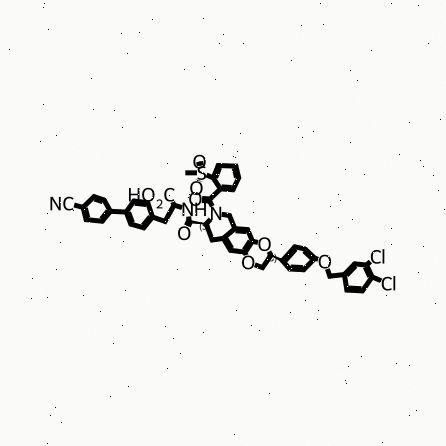 CS(=O)(=O)c1ccccc1C(=O)N1Cc2cc3c(cc2C[C@H]1C(=O)NC(Cc1ccc(-c2ccc(C#N)cc2)cc1)C(=O)O)OC[C@H](c1ccc(OCc2ccc(Cl)c(Cl)c2)cc1)O3